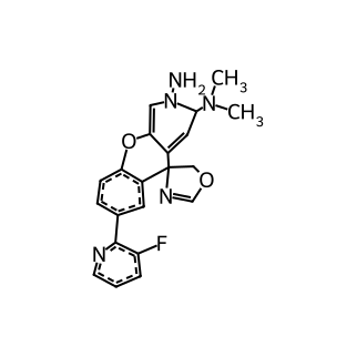 CN(C)C1C=C2C(=CN1N)Oc1ccc(-c3ncccc3F)cc1C21COC=N1